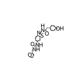 O=C(Cc1ccc(O)cc1)Nc1nc2ccc(NC(=O)NCc3ccco3)cc2s1